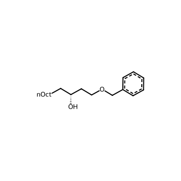 CCCCCCCCC[C@@H](O)CCOCc1ccccc1